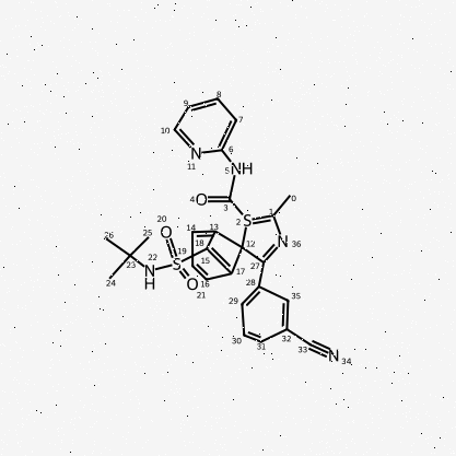 CC1=S(C(=O)Nc2ccccn2)C2(C3=CC=CC2=C3S(=O)(=O)NC(C)(C)C)C(c2cccc(C#N)c2)=N1